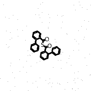 O=C(SC(=O)c1ccccc1-c1ccccc1)c1ccccc1-c1ccccc1